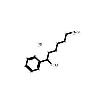 CCCCCCCCCCCCCCC(C(=O)O)c1ccccc1.[Hg]